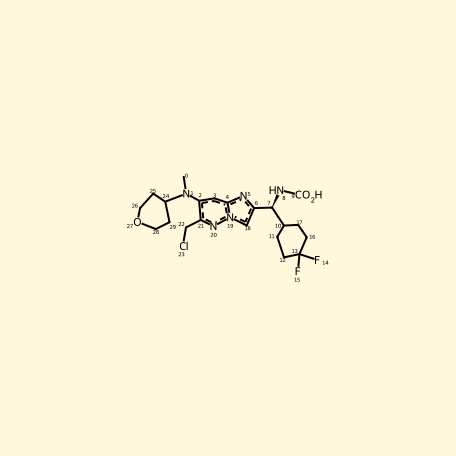 CN(c1cc2nc([C@@H](NC(=O)O)C3CCC(F)(F)CC3)cn2nc1CCl)C1CCOCC1